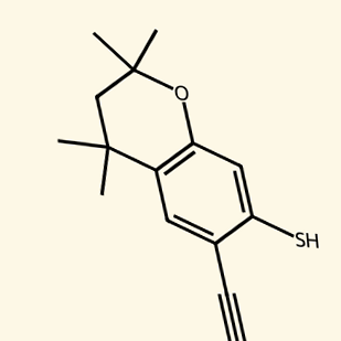 [C]#Cc1cc2c(cc1S)OC(C)(C)CC2(C)C